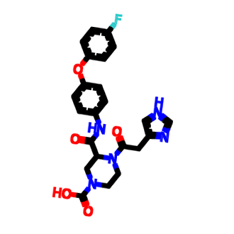 O=C(Nc1ccc(Oc2ccc(F)cc2)cc1)C1CN(C(=O)O)CCN1C(=O)Cc1c[nH]cn1